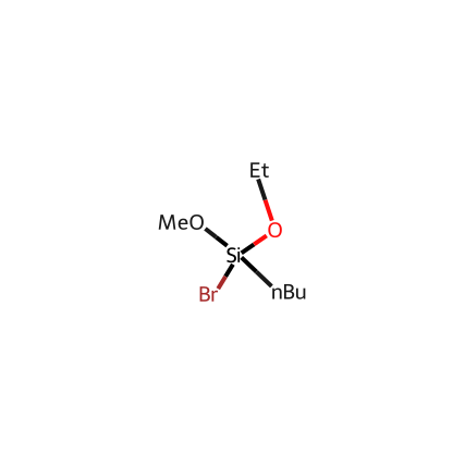 CCCC[Si](Br)(OC)OCC